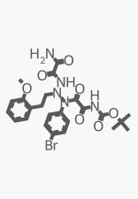 COc1ccccc1CCN(NC(=O)C(N)=O)N(C(=O)C(=O)NC(=O)OC(C)(C)C)c1ccc(Br)cc1